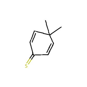 CC1(C)C=CC(=S)C=C1